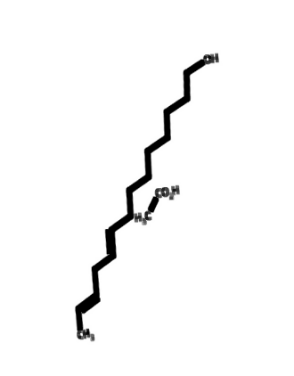 CC(=O)O.CC=CCC=CCCCCCCCCO